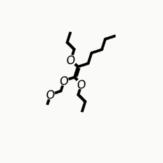 CCCCC/C(OCCC)=C(\OCCC)OCOC